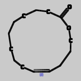 O=C1CCCCCCCC/C=C\CCCO1